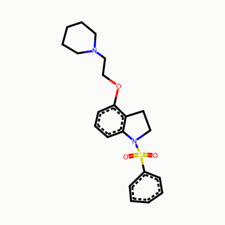 O=S(=O)(c1ccccc1)N1CCc2c(OCCN3CCCCC3)cccc21